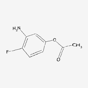 CC(=O)Oc1ccc(F)c(N)c1